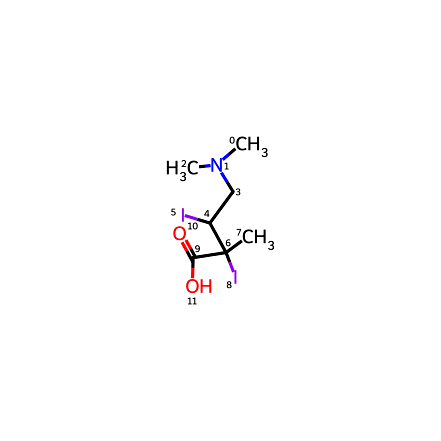 CN(C)CC(I)C(C)(I)C(=O)O